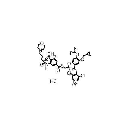 COc1ccc(C(=O)SCC(=O)O[C@@H](Cc2c(Cl)c[n+]([O-])cc2Cl)c2ccc(OC(F)F)c(OCC3CC3)c2)cc1NS(=O)(=O)CCCN1CCOCC1.Cl